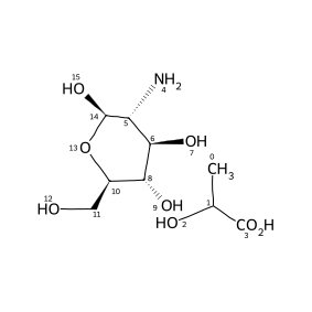 CC(O)C(=O)O.N[C@@H]1[C@@H](O)[C@H](O)[C@@H](CO)O[C@H]1O